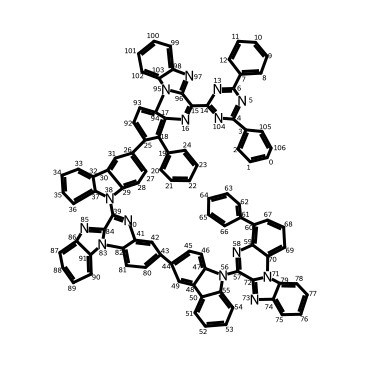 c1ccc(-c2nc(-c3ccccc3)nc(-c3nc4c(-c5ccccc5)c(-c5ccc6c(c5)c5ccccc5n6-c5nc6cc(-c7ccc8c(c7)c7ccccc7n8-c7nc8c(-c9ccccc9)cccc8n8c7nc7ccccc78)ccc6n6c5nc5ccccc56)ccc4n4c3nc3ccccc34)n2)cc1